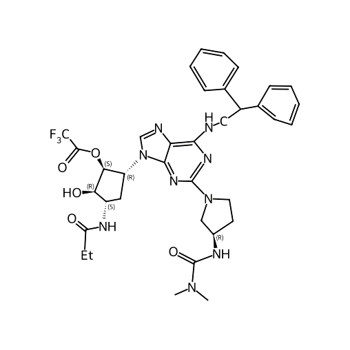 CCC(=O)N[C@H]1C[C@@H](n2cnc3c(NCC(c4ccccc4)c4ccccc4)nc(N4CC[C@@H](NC(=O)N(C)C)C4)nc32)[C@H](OC(=O)C(F)(F)F)[C@@H]1O